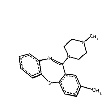 Cc1ccc2c(c1)C(N1CCN(C)CC1)=Nc1ccccc1S2